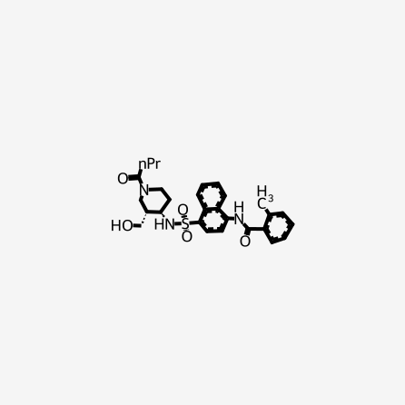 CCCC(=O)N1CC[C@H](NS(=O)(=O)c2ccc(NC(=O)c3ccccc3C)c3ccccc23)[C@H](CO)C1